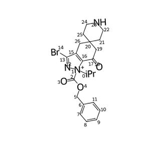 CC(C)[N+]1(C(=O)OCc2ccccc2)N=C(Br)C2=C1C(=O)CC1(CCNCC1)C2